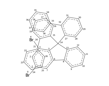 Brc1cc(Br)c2c(c1)-c1ccccc1C2(c1ccccc1-c1ccccc1)c1ccccc1-c1ccccc1